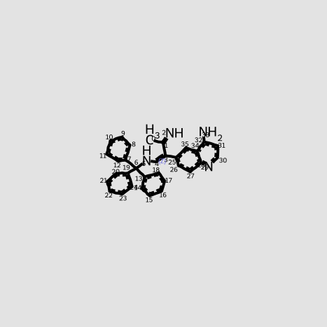 CC(=N)/C(=C\NC(c1ccccc1)(c1ccccc1)c1ccccc1)c1ccc2nccc(N)c2c1